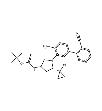 CC(C)(C)OC(=O)NC1C[C@@H](C2(O)CC2)N(c2cc(-c3cnccc3C#N)ccc2N)C1